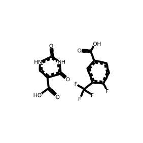 O=C(O)c1c[nH]c(=O)[nH]c1=O.O=C(O)c1ccc(F)c(C(F)(F)F)c1